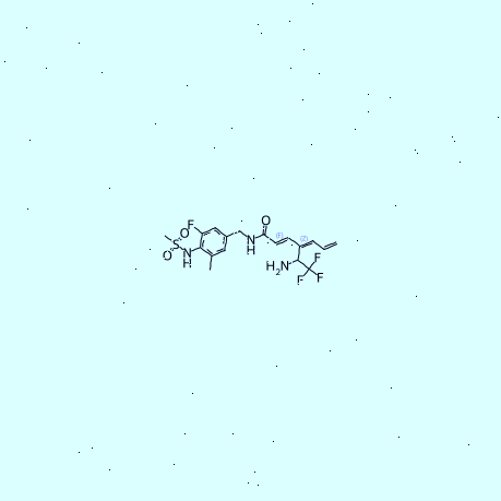 C=C/C=C(/C=C/C(=O)NCc1cc(C)c(NS(C)(=O)=O)c(F)c1)C(N)C(F)(F)F